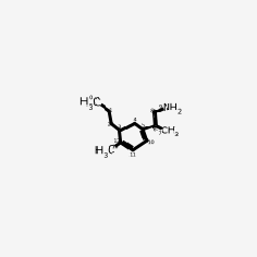 CCCC1CC(C(C)CN)=CC=C1C